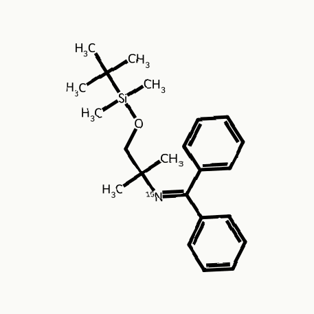 CC(C)(CO[Si](C)(C)C(C)(C)C)[15N]=C(c1ccccc1)c1ccccc1